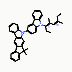 CC/C(C)=C\C(C)=C(/CC)n1c2ccccc2c2cc(-n3c4ccccc4c4cc5c(cc43)C(C)(C)c3ccccc3-5)ccc21